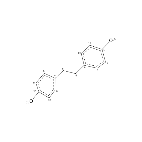 [O]c1ccc(CCc2ccc([O])cc2)cc1